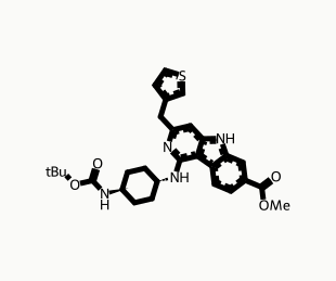 COC(=O)c1ccc2c(c1)[nH]c1cc(Cc3ccsc3)nc(N[C@H]3CC[C@H](NC(=O)OC(C)(C)C)CC3)c12